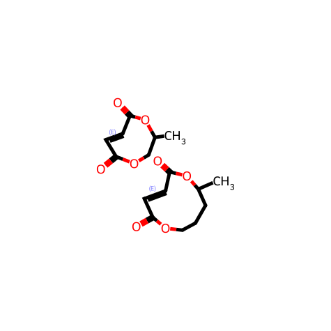 CC1CCCOC(=O)/C=C/C(=O)O1.CC1COC(=O)/C=C/C(=O)O1